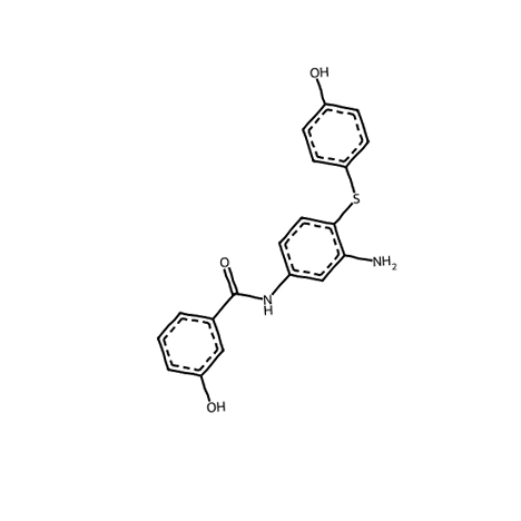 Nc1cc(NC(=O)c2cccc(O)c2)ccc1Sc1ccc(O)cc1